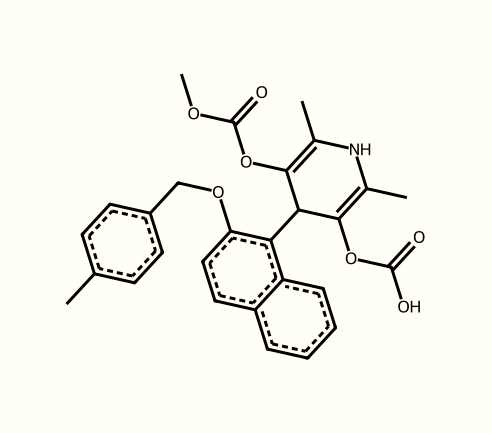 COC(=O)OC1=C(C)NC(C)=C(OC(=O)O)C1c1c(OCc2ccc(C)cc2)ccc2ccccc12